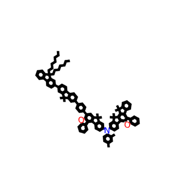 CCCCCCCC1(CCCCCCC)c2ccccc2-c2ccc(-c3ccc4c(c3)C(C)(C)c3cc(-c5ccc(-c6cc7c(c8c6oc6ccccc68)-c6ccc(N(c8ccc9c(c8)C(C)(C)c8c%10c(c%11c(oc%12ccccc%12%11)c8-9)-c8ccccc8C%10(C)C)c8ccc(C)cc8C)cc6C7(C)C)cc5)ccc3-4)cc21